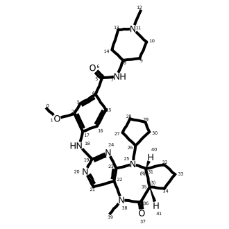 COc1cc(C(=O)NC2CCN(C)CC2)ccc1Nc1ncc2c(n1)N(C1CCCC1)[C@@H]1CCC[C@@H]1C(=O)N2C